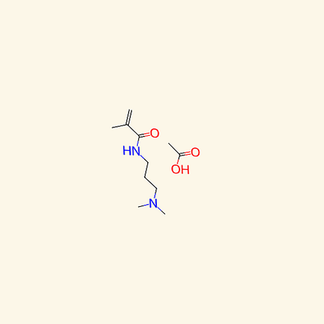 C=C(C)C(=O)NCCCN(C)C.CC(=O)O